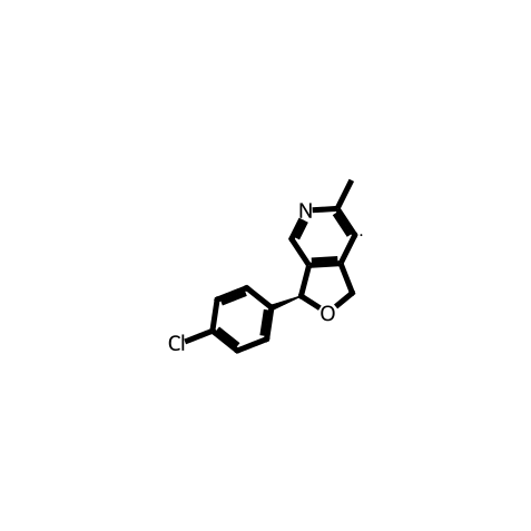 Cc1[c]c2c(cn1)[C@H](c1ccc(Cl)cc1)OC2